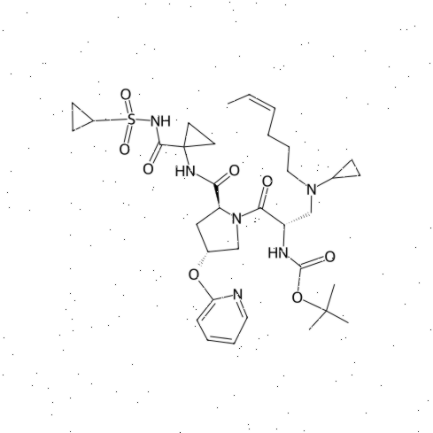 C/C=C\CCCN(C[C@H](NC(=O)OC(C)(C)C)C(=O)N1C[C@H](Oc2ccccn2)C[C@H]1C(=O)NC1(C(=O)NS(=O)(=O)C2CC2)CC1)C1CC1